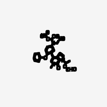 CC(OC=O)n1ccc2c(-c3cc(N(C[SH](=O)=O)C(=O)O[SH](=O)=O)ccc3Oc3ccccc3)cn(C)c(=O)c21